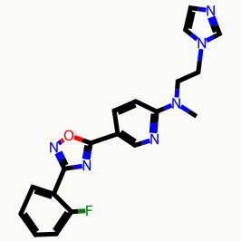 CN(CCn1ccnc1)c1ccc(-c2nc(-c3ccccc3F)no2)cn1